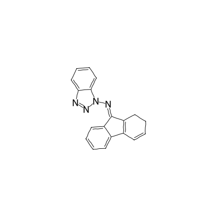 C1=CC2=C(CC1)/C(=N/n1nnc3ccccc31)c1ccccc12